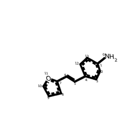 Nc1ccc(C=Cc2ccco2)cc1